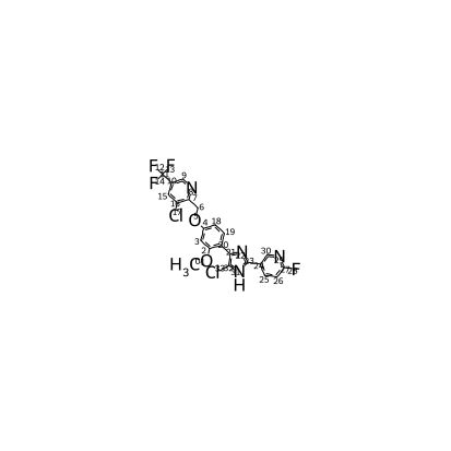 COc1cc(OCc2ncc(C(F)(F)F)cc2Cl)ccc1-c1nc(-c2ccc(F)nc2)[nH]c1Cl